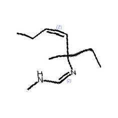 CC/C=C\C(C)(CC)/N=C\NC